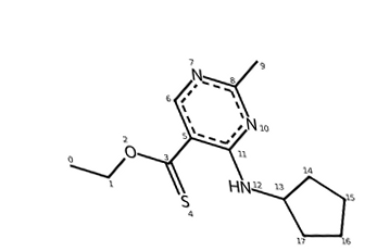 CCOC(=S)c1cnc(C)nc1NC1CCCC1